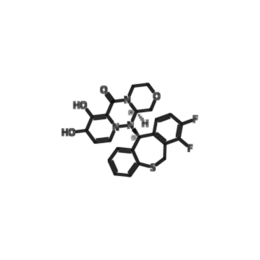 O=C1C2=C(O)C(O)C=CN2N([C@@H]2c3ccccc3SCc3c2ccc(F)c3F)[C@@H]2COCCN12